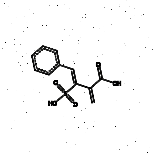 C=C(C(=O)O)C(=Cc1ccccc1)S(=O)(=O)O